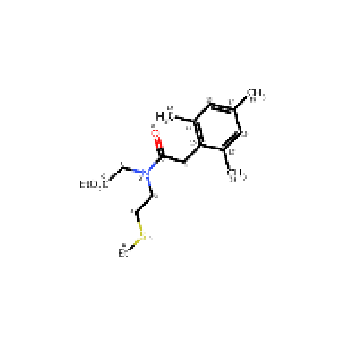 CCOC(=O)CN(CCSCC)C(=O)Cc1c(C)cc(C)cc1C